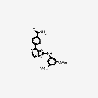 COc1cc(Nc2nc3c(-c4ccc(C(N)=O)cc4)nccn3n2)cc(OC)c1